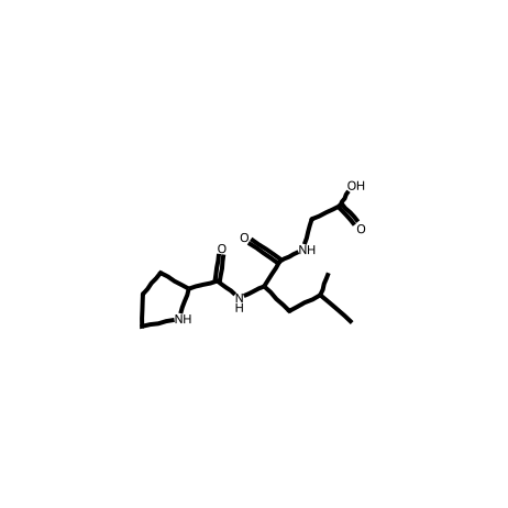 CC(C)CC(NC(=O)C1CCCN1)C(=O)NCC(=O)O